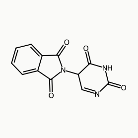 O=C1N=CC(N2C(=O)c3ccccc3C2=O)C(=O)N1